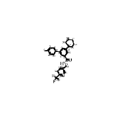 Cc1ccc(-c2cc(C(=O)NCc3ccc(C(F)(F)F)nc3)cc(C3CCCCC3)c2)cc1